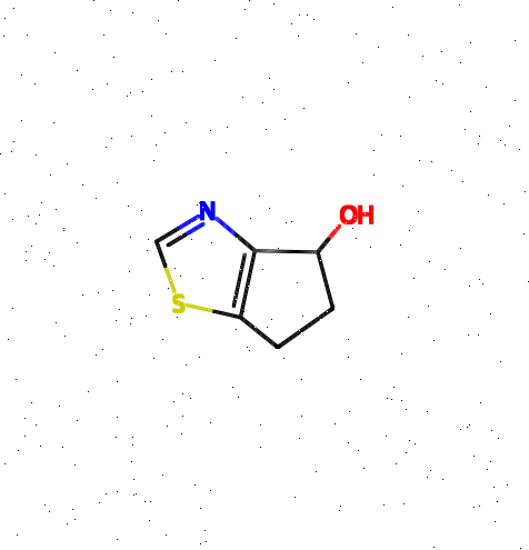 OC1CCc2scnc21